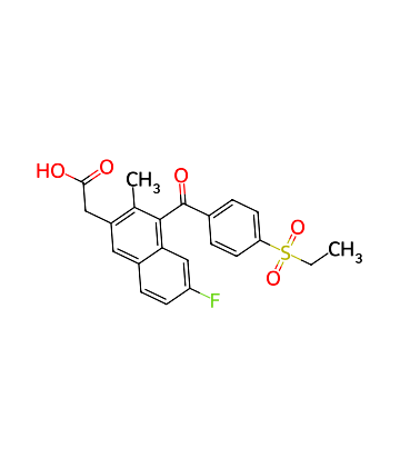 CCS(=O)(=O)c1ccc(C(=O)c2c(C)c(CC(=O)O)cc3ccc(F)cc23)cc1